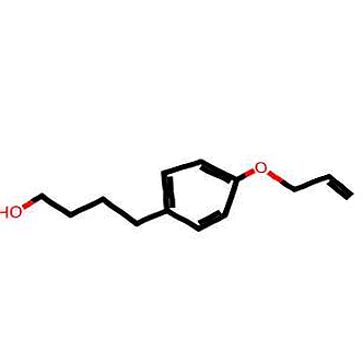 C=CCOc1ccc(CCCCO)cc1